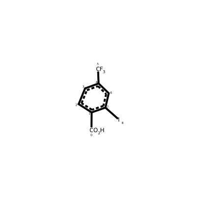 O=C(O)c1ccc(C(F)(F)F)cc1I